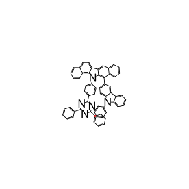 c1ccc(-c2nc(-c3ccccc3)nc(-c3ccc(-n4c5c(-c6ccc7c(c6)c6ccccc6n7-c6ccccc6)c6ccccc6cc5c5ccc6ccccc6c54)cc3)n2)cc1